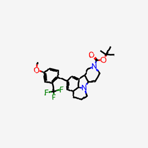 COc1ccc(C2=CC3CCCN4C5CCN(C(=O)OC(C)(C)C)CC5C(=C2)C34)c(C(F)(F)F)c1